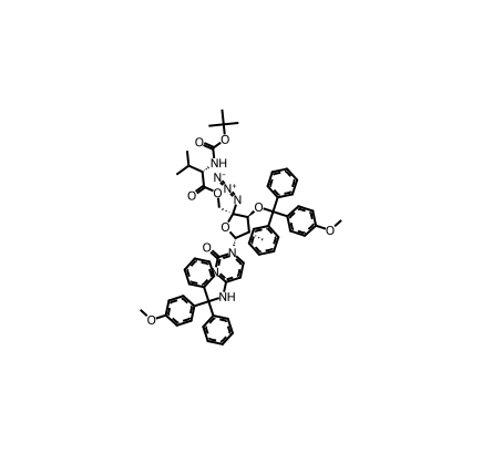 COc1ccc(C(Nc2ccn([C@@H]3O[C@@](COC(=O)[C@@H](NC(=O)OC(C)(C)C)C(C)C)(N=[N+]=[N-])[C@@H](OC(c4ccccc4)(c4ccccc4)c4ccc(OC)cc4)[C@@H]3C)c(=O)n2)(c2ccccc2)c2ccccc2)cc1